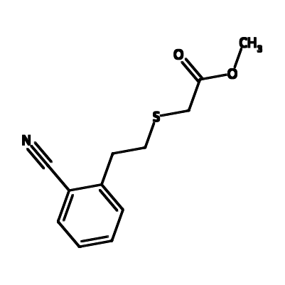 COC(=O)CSCCc1ccccc1C#N